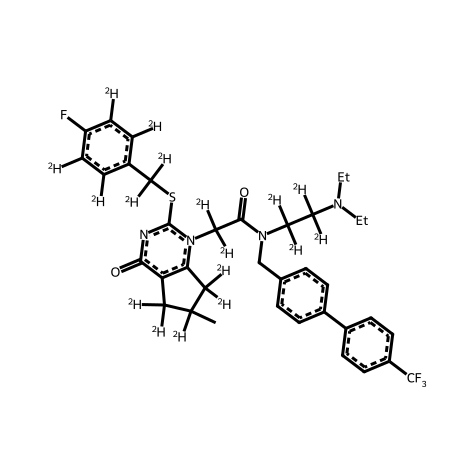 [2H]c1c([2H])c(C([2H])([2H])Sc2nc(=O)c3c(n2C([2H])([2H])C(=O)N(Cc2ccc(-c4ccc(C(F)(F)F)cc4)cc2)C([2H])([2H])C([2H])([2H])N(CC)CC)C([2H])([2H])C([2H])(C)C3([2H])[2H])c([2H])c([2H])c1F